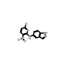 O=[N+]([O-])c1ccc(Cl)nc1Nc1ccc2[nH]ncc2c1